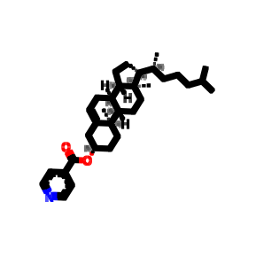 CC(C)CCC[C@@H](C)[C@H]1CC[C@H]2[C@@H]3CC=C4C[C@@H](OC(=O)c5ccncc5)CC[C@]4(C)[C@H]3CC[C@]12C